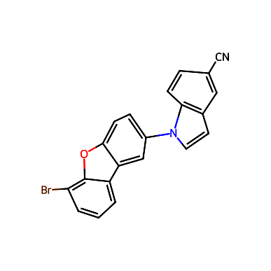 N#Cc1ccc2c(ccn2-c2ccc3oc4c(Br)cccc4c3c2)c1